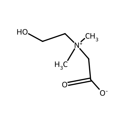 C[N+](C)(CCO)CC(=O)[O-]